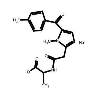 Cc1ccc(C(=O)c2ccc(CC(=O)NC(C)C(=O)[O-])n2C)cc1.[Na+]